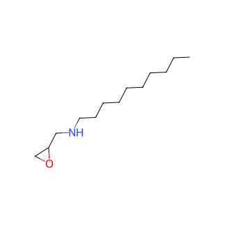 CCCCCCCCCCNCC1CO1